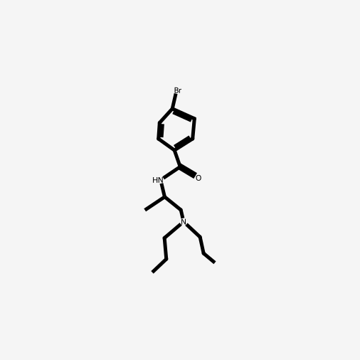 CCCN(CCC)CC(C)NC(=O)c1ccc(Br)cc1